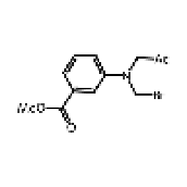 COC(=O)c1cccc(N(CBr)CC(C)=O)c1